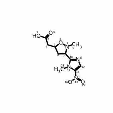 CN1OC(CC(=O)O)CC1c1ncc([N+](=O)[O-])n1C